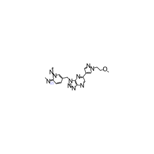 C=Nn1cc(Cn2nnc3ncc(-c4cnn(CCOC)c4)nc32)cc/c1=N/C